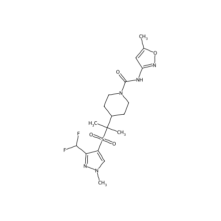 Cc1cc(NC(=O)N2CCC(C(C)(C)S(=O)(=O)c3cn(C)nc3C(F)F)CC2)no1